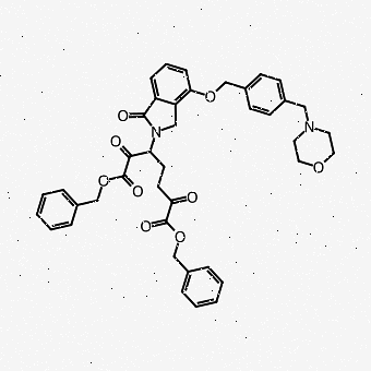 O=C(CCC(C(=O)C(=O)OCc1ccccc1)N1Cc2c(OCc3ccc(CN4CCOCC4)cc3)cccc2C1=O)C(=O)OCc1ccccc1